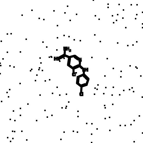 N=C(N)c1cnc(Nc2ccc(Cl)cc2)c(Cl)c1